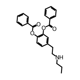 CCCNCCc1ccc(OC(=O)c2ccccc2)c(OC(=O)c2ccccc2)c1